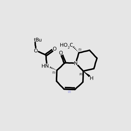 CC(C)(C)OC(=O)N[C@H]1C/C=C\C[C@H]2CCC[C@@H](C(=O)O)N2C1=O